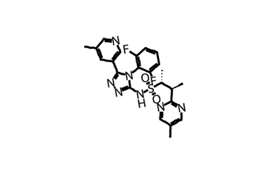 Cc1cnc([C@H](C)[C@@H](C)S(=O)(=O)Nc2nnc(-c3cncc(C)c3)n2-c2c(F)cccc2F)nc1